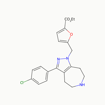 CCOC(=O)c1ccc(Cn2nc(-c3ccc(Cl)cc3)c3c2CCNCC3)o1